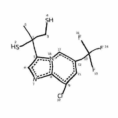 CC(S)(CS)c1cnc2c(Cl)cc(C(F)(F)F)cn12